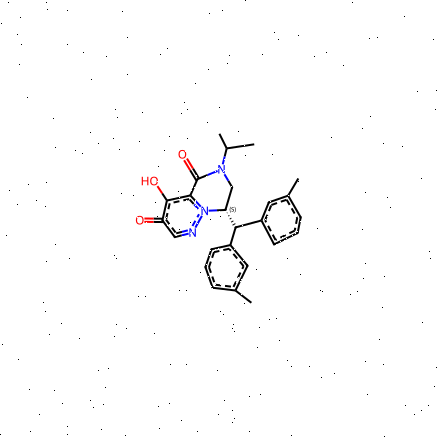 Cc1cccc(C(c2cccc(C)c2)[C@H]2CN(C(C)C)C(=O)c3c(O)c(=O)cnn32)c1